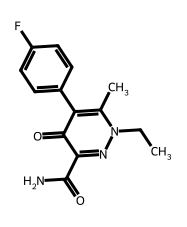 CCn1nc(C(N)=O)c(=O)c(-c2ccc(F)cc2)c1C